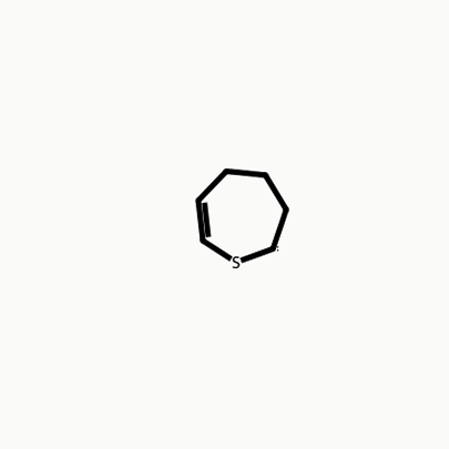 [C]1CCCC=CS1